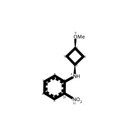 CO[C@H]1C[C@@H](Nc2ccccc2[N+](=O)[O-])C1